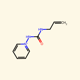 C=CCNC(=O)N[n+]1ccccc1